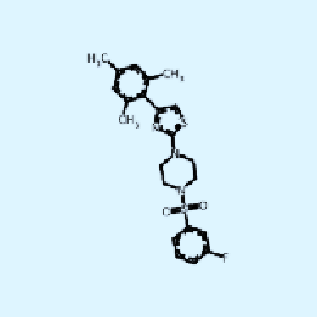 Cc1cc(C)c(-c2csc(N3CCN(S(=O)(=O)c4cccc(F)c4)CC3)n2)c(C)c1